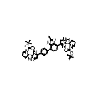 Cc1nc2c(-c3ccc(-c4c[nH]c([C@@H]5CCCN5C(=O)OC(C)(C)C)n4)cc3)ccc(-c3c[nH]c([C@@H]4CCCN4C(=O)OC(C)(C)C)n3)c2o1